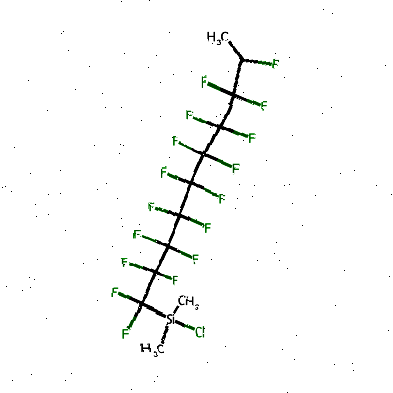 CC(F)C(F)(F)C(F)(F)C(F)(F)C(F)(F)C(F)(F)C(F)(F)C(F)(F)C(F)(F)[Si](C)(C)Cl